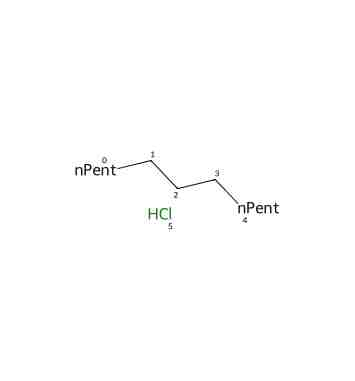 CCCCCCCCCCCCC.Cl